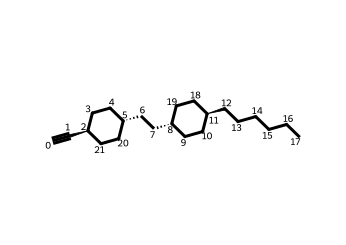 C#C[C@H]1CC[C@H](CC[C@H]2CC[C@H](CCCCCC)CC2)CC1